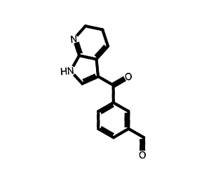 O=Cc1cccc(C(=O)c2c[nH]c3c2=CCCN=3)c1